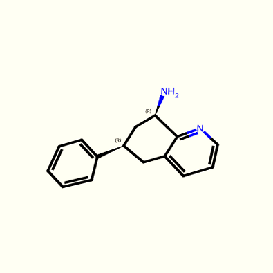 N[C@@H]1C[C@H](c2ccccc2)Cc2cccnc21